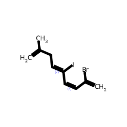 C=C(Br)/C=C\C(I)=C\CC(=C)C